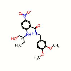 CC[C@@H](CO)Nc1ccc([N+](=O)[O-])cc1C(=O)NCc1ccc(OC)c(OC)c1